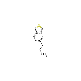 CCCc1ccc2[c]s[c]c2c1